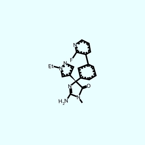 CCn1cc([C@]2(c3cccc(-c4cccnc4F)c3)N=C(N)N(C)C2=O)cn1